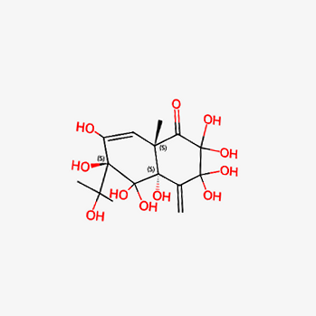 C=C1C(O)(O)C(O)(O)C(=O)[C@@]2(C)C=C(O)[C@@](O)(C(C)(C)O)C(O)(O)[C@]12O